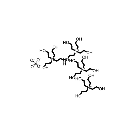 OCC[N+](CCO)(CCO)CCO.OCC[N+](CCO)(CCO)CCO.OCC[N+](CCO)(CCO)CCO.OCC[N+](CCO)(CCO)CCO.[O-][Si]([O-])([O-])[O-]